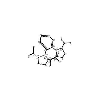 CC(C)C1CC[C@H](C(C)C)P1c1ccccc1P1[C@@H](C(C)C)CC[C@@H]1C(C)C